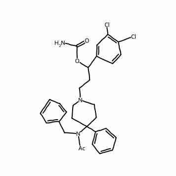 CC(=O)N(Cc1ccccc1)C1(c2ccccc2)CCN(CCC(OC(N)=O)c2ccc(Cl)c(Cl)c2)CC1